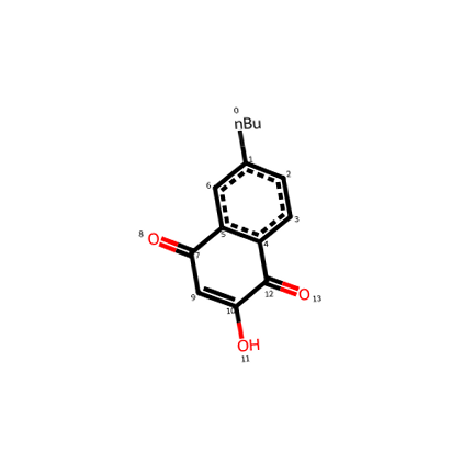 CCCCc1ccc2c(c1)C(=O)C=C(O)C2=O